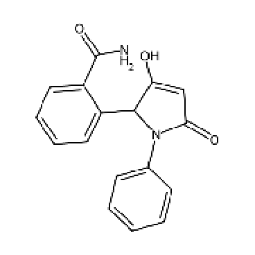 NC(=O)c1ccccc1C1C(O)=CC(=O)N1c1ccccc1